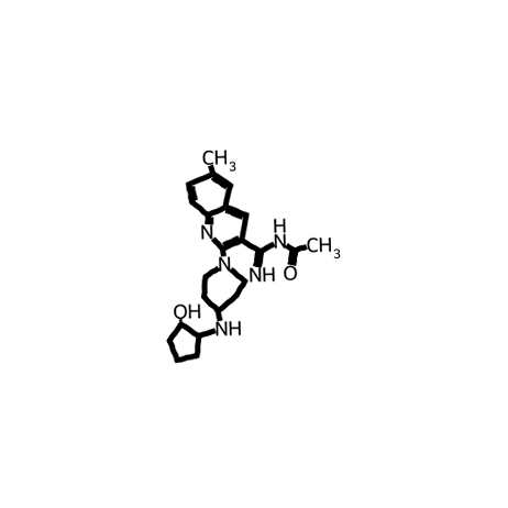 CC(=O)NC(=N)c1cc2cc(C)ccc2nc1N1CCC(NC2CCC[C@@H]2O)CC1